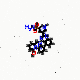 C=N/C=C(\C=C(/C)S(N)(=O)=O)c1nc(NCc2cccc(OC)n2)c2c(-c3ccccc3)cccc2n1